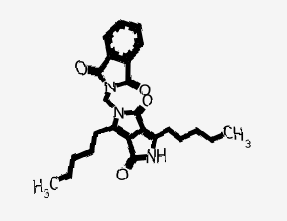 CCCCCC1=C2C(=O)N(CN3C(=O)c4ccccc4C3=O)C(CCCCC)=C2C(=O)N1